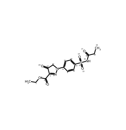 CCOC(=O)C1=NN(c2ccc(S(=O)(=O)NC(=O)CC)cc2)CC1=O